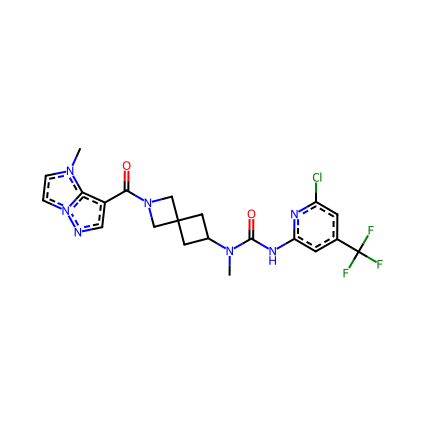 CN(C(=O)Nc1cc(C(F)(F)F)cc(Cl)n1)C1CC2(C1)CN(C(=O)c1cnn3ccn(C)c13)C2